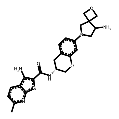 Cc1ccc2c(N)c(C(=O)N[C@H]3COc4cc(N5CC(N)C6(COC6)C5)ccc4C3)sc2n1